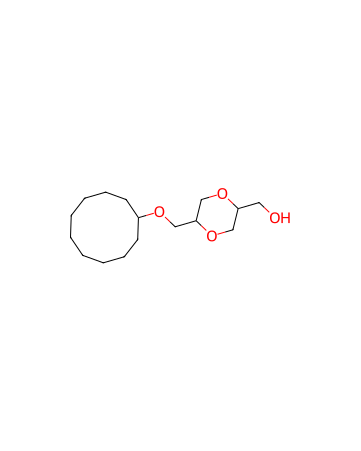 OCC1COC(COC2CCCCCCCCC2)CO1